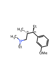 CC[C@@H](c1cccc(OC)c1)[C@@H](C)CN(C)CC